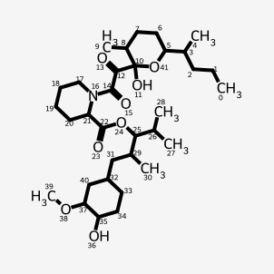 CCCC(C)C1CCC(C)C(O)(C(=O)C(=O)N2CCCCC2C(=O)OC(C(C)C)C(C)CC2CCC(O)C(OC)C2)O1